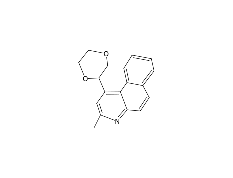 Cc1cc(C2COCCO2)c2c(ccc3ccccc32)n1